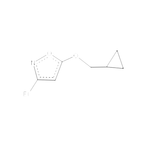 CCc1cc(OCC2CC2)on1